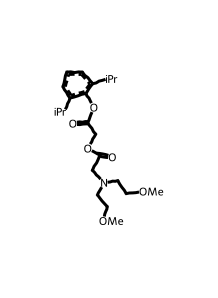 COCCN(CCOC)CC(=O)OCC(=O)Oc1c(C(C)C)cccc1C(C)C